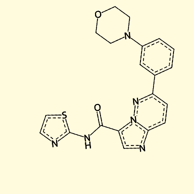 O=C(Nc1nccs1)c1cnc2ccc(-c3cccc(N4CCOCC4)c3)nn12